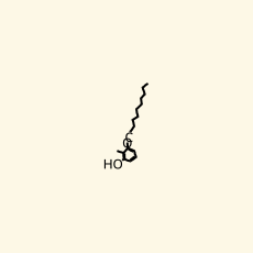 CCCCCCCCCCCOc1cccc(O)c1C